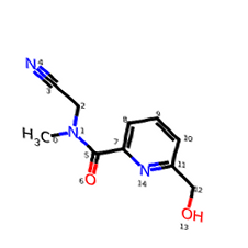 CN(CC#N)C(=O)c1cccc(CO)n1